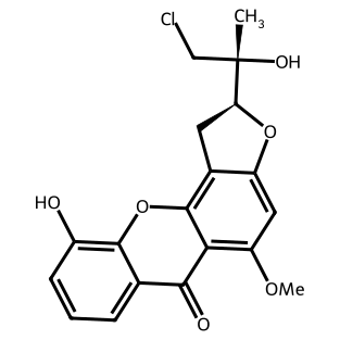 COc1cc2c(c3oc4c(O)cccc4c(=O)c13)C[C@@H]([C@@](C)(O)CCl)O2